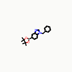 CC1(C)OB(c2ccc3c(c2)ncn3Cc2ccccc2)OC1(C)C